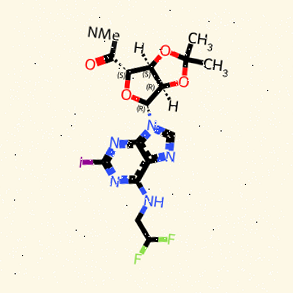 CNC(=O)[C@H]1O[C@@H](n2cnc3c(NCC(F)F)nc(I)nc32)[C@@H]2OC(C)(C)O[C@@H]21